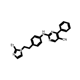 CCc1nccn1CCc1ccc(Nc2ncc(C#N)c(-c3ccccc3)n2)cc1